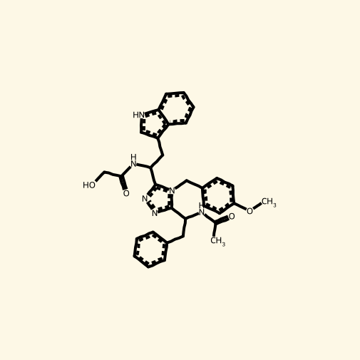 COc1ccc(Cn2c(C(Cc3ccccc3)NC(C)=O)nnc2C(Cc2c[nH]c3ccccc23)NC(=O)CO)cc1